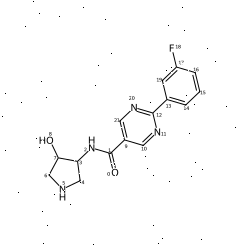 O=C(NC1CNCC1O)c1cnc(-c2cccc(F)c2)nc1